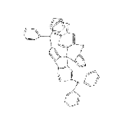 c1ccc(N(c2ccccc2)c2ccc3c(c2)C2(c4ccccc4Sc4cc5ccccc5cc42)c2cc(N(c4ccccc4)c4ccccc4)ccc2-3)cc1